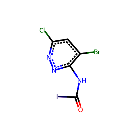 O=C(I)Nc1nnc(Cl)cc1Br